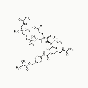 CC(=O)NCC(C)(C)CCOC(C)(C)CCN[C@@H](CCC(=O)O)C(=O)N[C@H](C(=O)N[C@@H](CCCNC(N)=O)C(=O)Nc1ccc(COC(=O)C(C)C)cc1)C(C)C